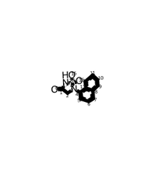 O=C1CN(c2[c]ccc3ccccc23)S(=O)(=O)N1